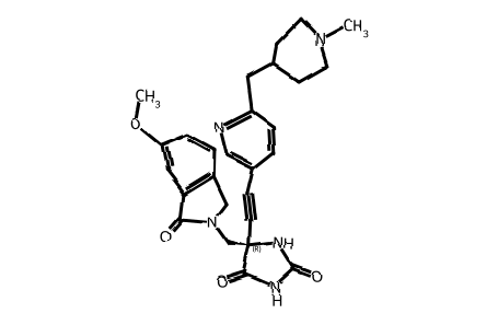 COc1ccc2c(c1)C(=O)N(C[C@@]1(C#Cc3ccc(CC4CCN(C)CC4)nc3)NC(=O)NC1=O)C2